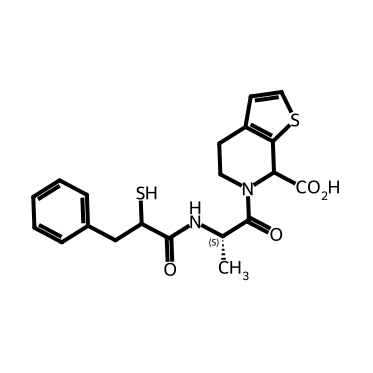 C[C@H](NC(=O)C(S)Cc1ccccc1)C(=O)N1CCc2ccsc2C1C(=O)O